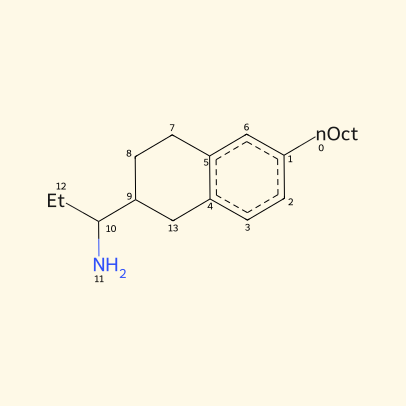 CCCCCCCCc1ccc2c(c1)CCC(C(N)CC)C2